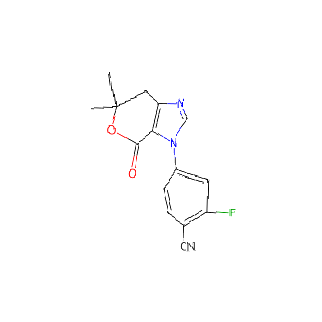 CC1(C)Cc2ncn(-c3ccc(C#N)c(F)c3)c2C(=O)O1